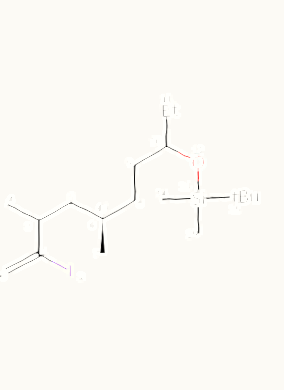 C=C(I)C(C)C[C@H](C)CCC(CC)O[Si](C)(C)C(C)(C)C